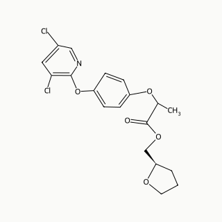 CC(Oc1ccc(Oc2ncc(Cl)cc2Cl)cc1)C(=O)OC[C@H]1CCCO1